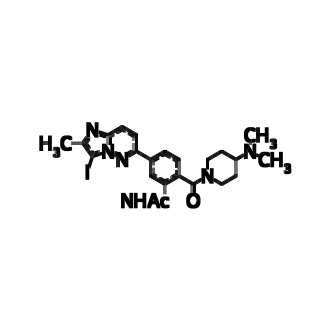 CC(=O)Nc1cc(-c2ccc3nc(C)c(I)n3n2)ccc1C(=O)N1CCC(N(C)C)CC1